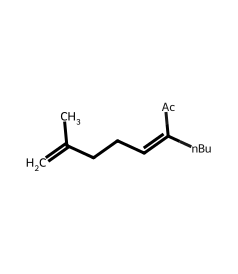 C=C(C)CCC=C(CCCC)C(C)=O